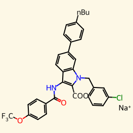 CCCCc1ccc(-c2ccc3c(NC(=O)c4ccc(OC(F)(F)F)cc4)c(C(=O)[O-])n(Cc4cccc(Cl)c4)c3c2)cc1.[Na+]